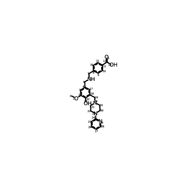 COc1cc(CNCc2ccc(C(=O)O)cc2)cc(CN2CCN(c3ccccn3)CC2)c1O